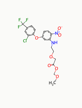 COCOC(=O)COCCNc1cc(Oc2ccc(C(F)(F)F)cc2Cl)ccc1[N+](=O)[O-]